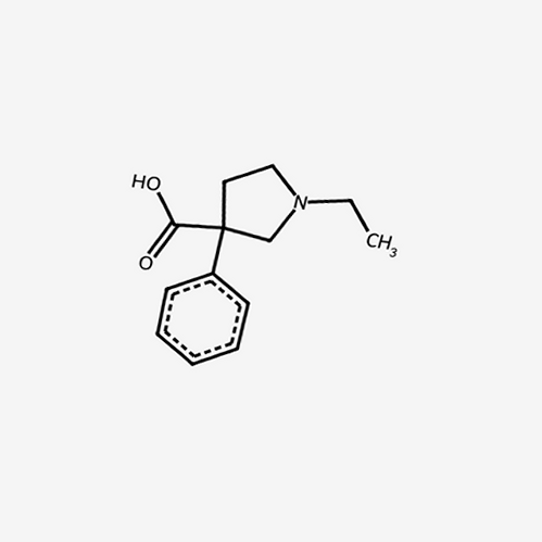 CCN1CCC(C(=O)O)(c2ccccc2)C1